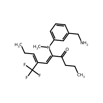 CC/C=C(/C=C(/C(=O)CCC)N(C)c1cccc(CN)c1)C(F)(F)F